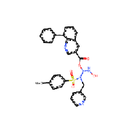 COc1ccc(S(=O)(=O)N(Cc2cccnc2)N(NO)OC(=O)c2cnc3c(-c4ccccc4)cccc3c2)cc1